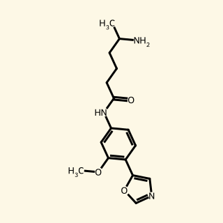 COc1cc(NC(=O)CCCC(C)N)ccc1-c1cnco1